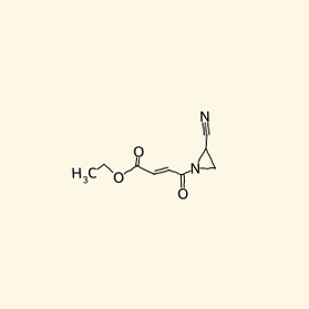 CCOC(=O)C=CC(=O)N1CC1C#N